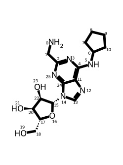 NCc1nc(NC2CCCC2)c2ncn([C@@H]3O[C@H](CO)[C@@H](O)[C@H]3O)c2n1